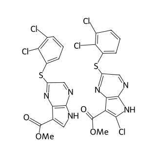 COC(=O)c1c(Cl)[nH]c2ncc(Sc3cccc(Cl)c3Cl)nc12.COC(=O)c1c[nH]c2ncc(Sc3cccc(Cl)c3Cl)nc12